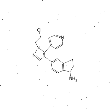 NC1CCc2cc(-c3cnn(CCO)c3-c3ccncc3)ccc21